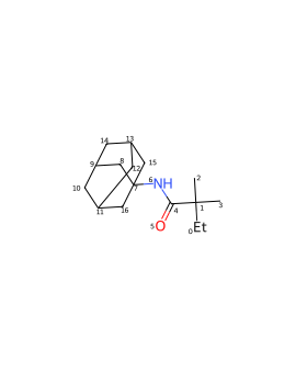 CCC(C)(C)C(=O)NC12CC3CC(CC(C3)C1)C2